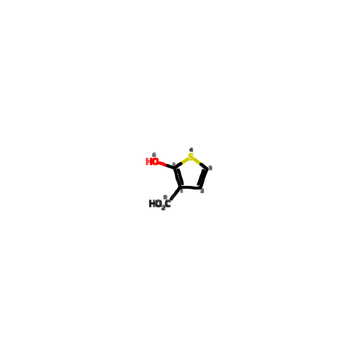 O=C(O)c1ccsc1O